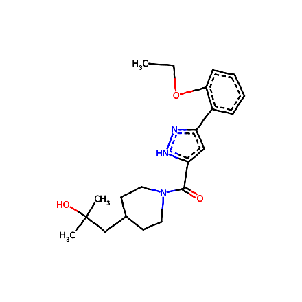 CCOc1ccccc1-c1cc(C(=O)N2CCC(CC(C)(C)O)CC2)[nH]n1